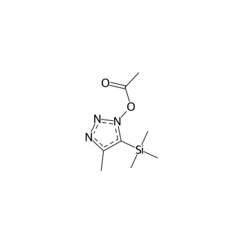 CC(=O)On1nnc(C)c1[Si](C)(C)C